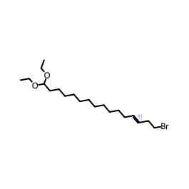 CCOC(CCCCCCCCCCC/C=C/CCBr)OCC